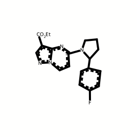 CCOC(=O)c1cnn2ccc(N3CCCC3c3ccc(F)cc3)nc12